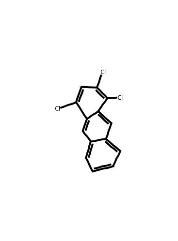 Clc1[c]c(Cl)c2cc3cc[c]cc3cc2c1Cl